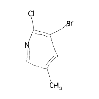 [CH2]c1cnc(Cl)c(Br)c1